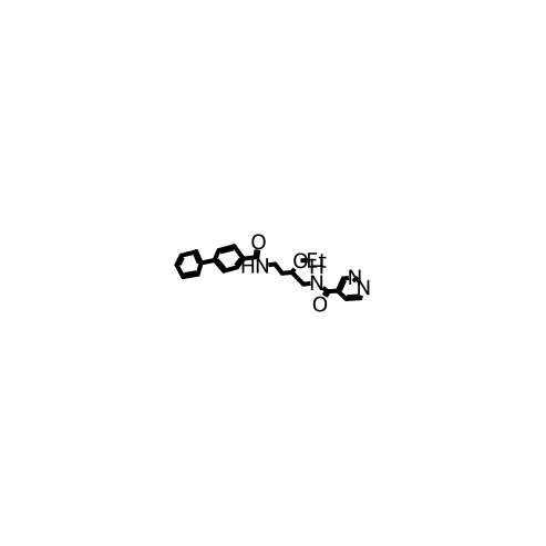 CCOC(CCNC(=O)c1ccc(-c2ccccc2)cc1)CNC(=O)c1ccnnc1